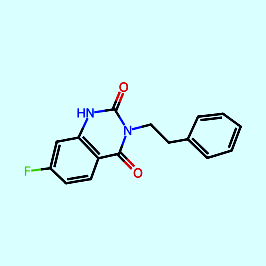 O=c1[nH]c2cc(F)ccc2c(=O)n1CCc1ccccc1